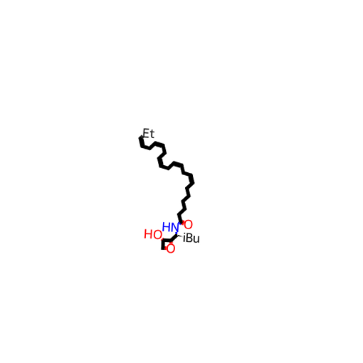 CC/C=C\C/C=C\C/C=C\C/C=C\C/C=C\CCCCCC(=O)N[C@H](C1OCC1O)[C@@H](C)CC